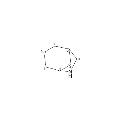 [CH]1CC2CNC(C1)C2